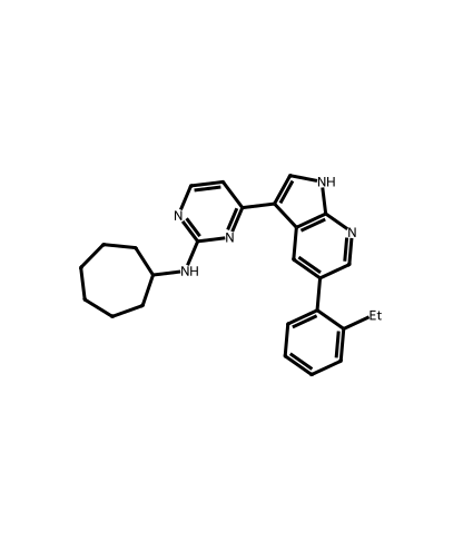 CCc1ccccc1-c1cnc2[nH]cc(-c3ccnc(NC4CCCCCC4)n3)c2c1